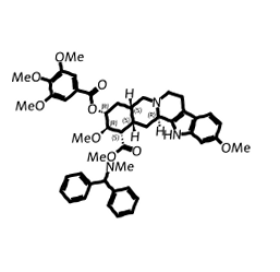 CNC(c1ccccc1)c1ccccc1.COC(=O)[C@H]1[C@H]2C[C@@H]3c4[nH]c5cc(OC)ccc5c4CCN3C[C@H]2C[C@@H](OC(=O)c2cc(OC)c(OC)c(OC)c2)[C@@H]1OC